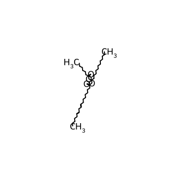 CCCCCC=CCC=CCCCCCCCC(=O)OC(CCCCCCCCCCCC)OC(=O)CCCCCCC